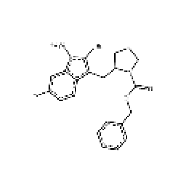 CC(C)(C)c1c(CC2CCCN2C(=O)OCc2ccccc2)c2ccc(F)cc2n1C(=O)O